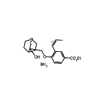 B.C/C=C\c1cc(C(=O)OCC)ccc1OCC1(O)CN2CCC1CC2